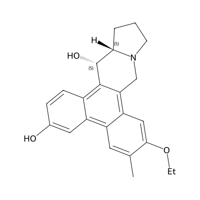 CCOc1cc2c3c(c4ccc(O)cc4c2cc1C)[C@H](O)[C@@H]1CCCN1C3